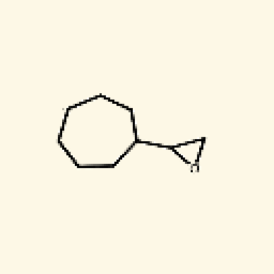 [CH]1CCCC(C2CO2)CC1